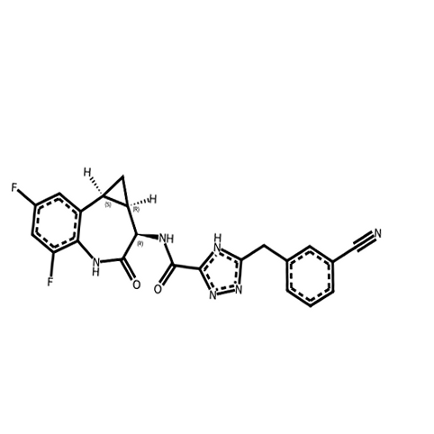 N#Cc1cccc(Cc2nnc(C(=O)N[C@H]3C(=O)Nc4c(F)cc(F)cc4[C@H]4C[C@H]43)[nH]2)c1